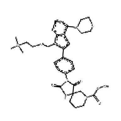 CC(C)(C)OC(=O)N1CCCC2(C1)NC(=O)N(c1ccc(-c3cc4c(N5CCOCC5)ncnc4n3COCC[Si](C)(C)C)cc1)C2=O